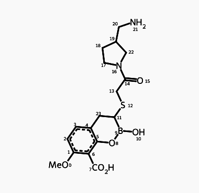 COc1ccc2c(c1C(=O)O)OB(O)C(SCC(=O)N1CCC(CN)C1)C2